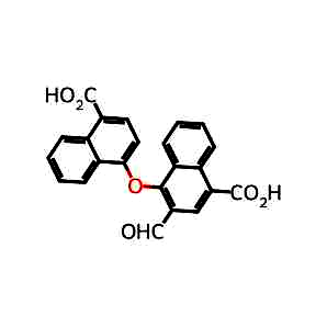 O=Cc1cc(C(=O)O)c2ccccc2c1Oc1ccc(C(=O)O)c2ccccc12